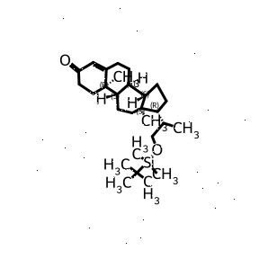 CC(CO[Si](C)(C)C(C)(C)C)[C@H]1CC[C@H]2[C@@H]3CCC4=CC(=O)CC[C@]4(C)[C@H]3CC[C@]12C